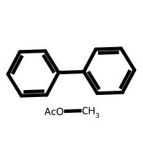 COC(C)=O.c1ccc(-c2ccccc2)cc1